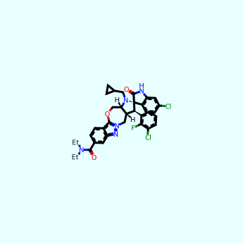 CCN(CC)C(=O)c1ccc2c3n(nc2c1)C[C@@H]1[C@H](CO3)N(CC2CC2)[C@@]2(C(=O)Nc3cc(Cl)ccc32)[C@H]1c1cccc(Cl)c1F